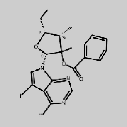 CC[C@H]1O[C@@H](n2cc(I)c3c(Cl)ncnc32)C(C)(OC(=O)c2ccccc2)[C@H]1C